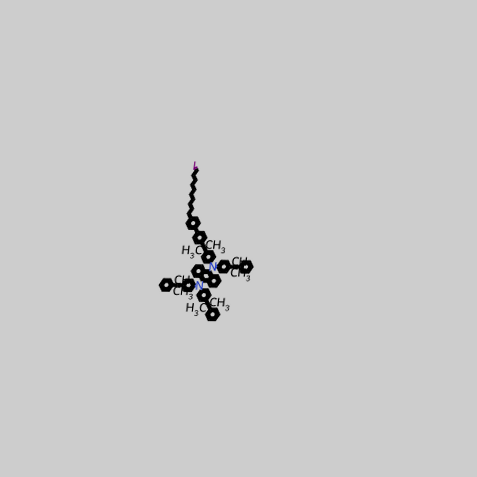 CC(C)(c1ccccc1)c1ccc(N(c2ccc(C(C)(C)c3ccccc3)cc2)c2c3ccccc3c(N(c3ccc(C(C)(C)c4ccccc4)cc3)c3ccc(C(C)(C)c4ccc(-c5ccc(CCCCCCCCCCI)cc5)cc4)cc3)c3ccccc23)cc1